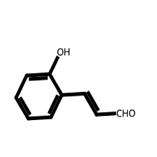 O=CC=Cc1ccccc1O